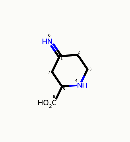 N=C1CCNC(C(=O)O)C1